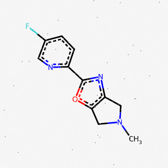 CN1Cc2nc(-c3ccc(F)cn3)oc2C1